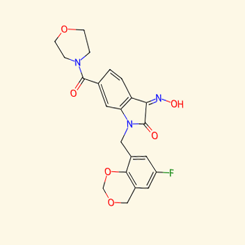 O=C(c1ccc2c(c1)N(Cc1cc(F)cc3c1OCOC3)C(=O)/C2=N\O)N1CCOCC1